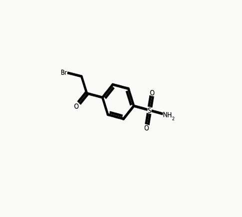 NS(=O)(=O)c1ccc(C(=O)CBr)cc1